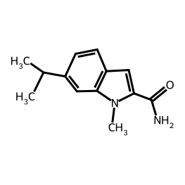 CC(C)c1ccc2cc(C(N)=O)n(C)c2c1